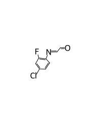 O=CC=Nc1ccc(Cl)cc1F